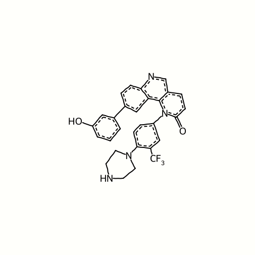 O=c1ccc2cnc3ccc(-c4cccc(O)c4)cc3c2n1-c1ccc(N2CCNCC2)c(C(F)(F)F)c1